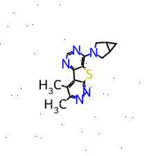 Cc1nnc2sc3c(N4CC5CC5C4)ncnc3c2c1C